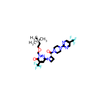 C[Si](C)(C)CCOCn1nc(N2CC[C@H]2C(=O)N2CCN(c3ncc(C(F)(F)F)cn3)CC2)cc(C(F)(F)F)c1=O